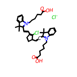 CC1(C)C(=C=CC2CCC(/C=C/C3=[N+](CCCCCC(=O)O)c4ccccc4C3(C)C)=C2Cl)N(CCCCCC(=O)O)c2ccccc21.[Cl-]